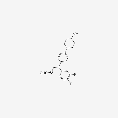 CCCC1CCC(c2ccc(C(COC=O)c3ccc(F)c(F)c3)cc2)CC1